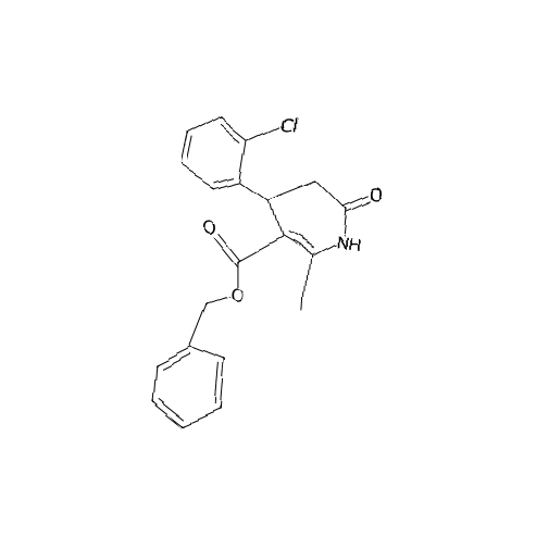 CC1=C(C(=O)OCc2ccccc2)C(c2ccccc2Cl)CC(=O)N1